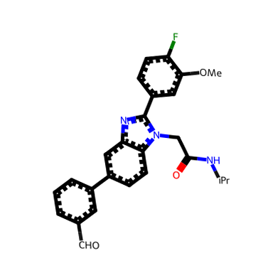 COc1cc(-c2nc3cc(-c4cccc(C=O)c4)ccc3n2CC(=O)NC(C)C)ccc1F